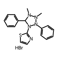 Br.CN1C(c2ccccc2)N(c2nccs2)N(c2ccccc2)N1C